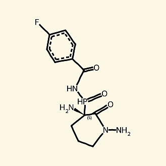 NN1CCC[C@](N)([PH](=O)NC(=O)c2ccc(F)cc2)C1=O